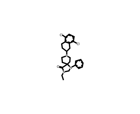 CCN1CN(c2ccccc2)C2(CCN(C3CCc4c(Cl)ccc(Cl)c4C3)CC2)C1=O